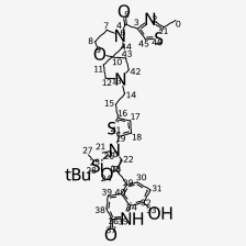 Cc1nc(C(=O)N2CCOC3(CCN(CCc4ccc(N(C)C[C@H](O[Si](C)(C)C(C)(C)C)c5ccc(O)c6[nH]c(=O)ccc56)s4)CC3)C2)cs1